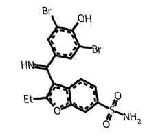 CCc1oc2cc(S(N)(=O)=O)ccc2c1C(=N)c1cc(Br)c(O)c(Br)c1